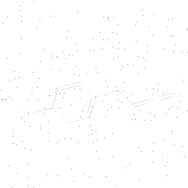 COc1ccc(CC=C=O)cc1